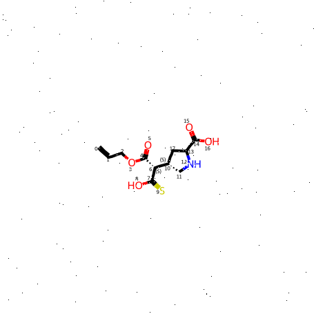 C=CCOC(=O)[C@@H](C(O)=S)[C@H]1CNC(C(=O)O)C1